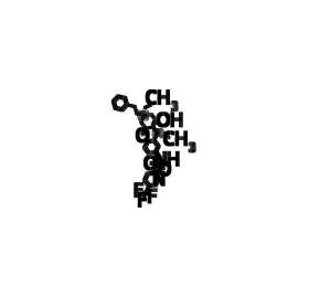 CCC[C@@]1(CCc2ccccc2)CC(=O)C([C@H](CC)c2cccc(NS(=O)(=O)c3ccc(C(F)(F)F)cn3)c2)=C(O)C1